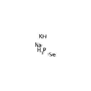 P.[KH].[Na].[Se]